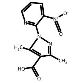 Cc1nn(-c2ncccc2[N+](=O)[O-])c(C)c1C(=O)O